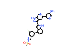 CS(=O)(=O)NCc1cc(F)cc(-c2cccc3[nH]c(-c4n[nH]c5cnc(-c6cncc(N)c6)cc45)cc23)c1